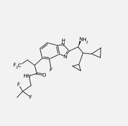 CC(F)(F)CNC(=O)C(CC(F)(F)F)c1ccc2[nH]c([C@@H](N)C(C3CC3)C3CC3)nc2c1F